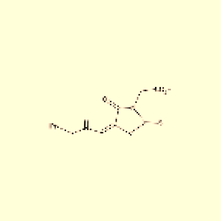 CC(C)CNC=C1SC(=S)N(CC(=O)O)C1=O